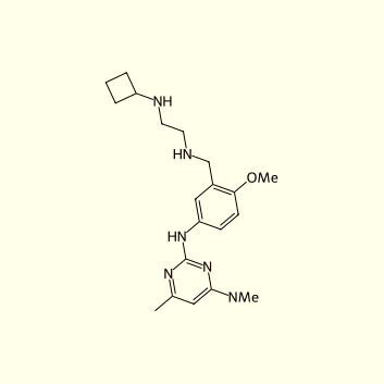 CNc1cc(C)nc(Nc2ccc(OC)c(CNCCNC3CCC3)c2)n1